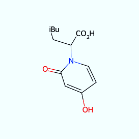 CCC(C)CC(C(=O)O)n1ccc(O)cc1=O